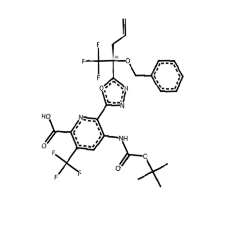 C=CC[C@@](OCc1ccccc1)(c1nnc(-c2nc(C(=O)O)c(C(F)(F)F)cc2NC(=O)OC(C)(C)C)o1)C(F)(F)F